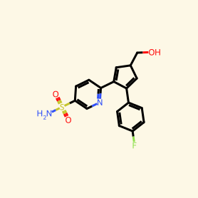 NS(=O)(=O)c1ccc(C2=CC(CO)C=C2c2ccc(F)cc2)nc1